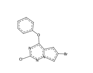 Clc1nc(Oc2ccccc2)c2cc(Br)cn2n1